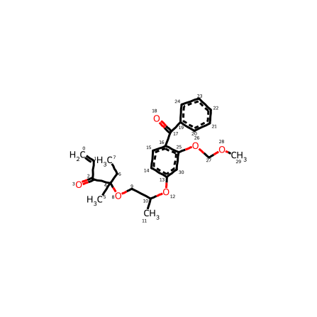 C=CC(=O)C(C)(CC)OCC(C)Oc1ccc(C(=O)c2ccccc2)c(OCOC)c1